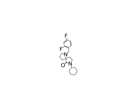 O=C1N(C2CCCCC2)CCC12CCCN2Cc1ccc(F)cc1F